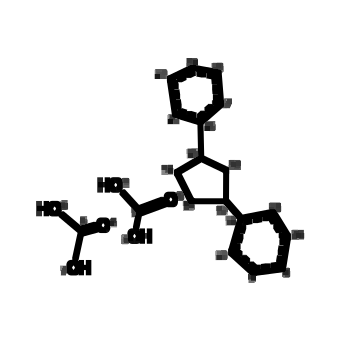 O=C(O)O.O=C(O)O.c1ccc(C2CCC(c3ccccc3)C2)cc1